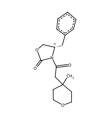 CC1(CC(=O)N2C(=O)OC[C@@H]2Cc2ccccc2)CCOCC1